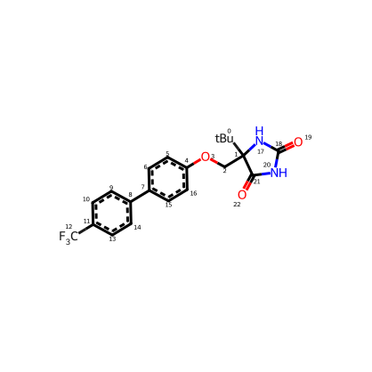 CC(C)(C)C1(COc2ccc(-c3ccc(C(F)(F)F)cc3)cc2)NC(=O)NC1=O